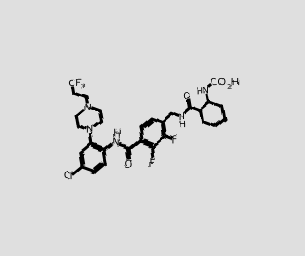 O=C(O)NC1CCCCC1C(=O)NCc1ccc(C(=O)Nc2ccc(Cl)cc2N2CCN(CCC(F)(F)F)CC2)c(F)c1F